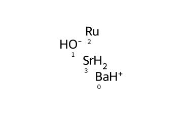 [BaH+].[OH-].[Ru].[SrH2]